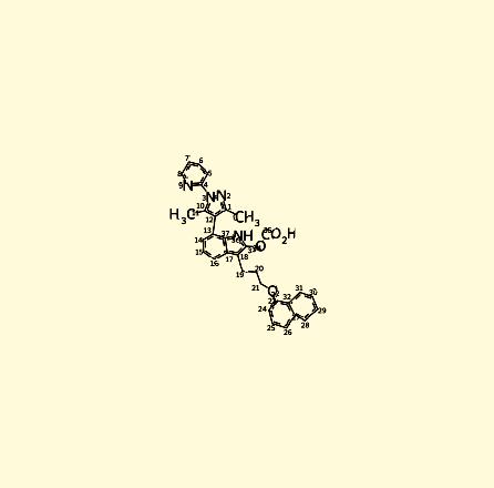 Cc1nn(-c2ccccn2)c(C)c1-c1cccc2c(CCCOc3cccc4ccccc34)c(OC(=O)O)[nH]c12